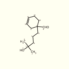 CC(C)(O)CCCC1(C=O)CC=CCC1